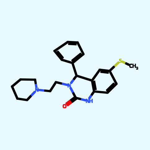 CSc1ccc2c(c1)C(c1ccccc1)N(CCN1CCCCC1)C(=O)N2